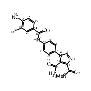 CNC(=O)c1ncn(-c2ccc(NC(=O)c3ccc(C#N)c(F)c3)cc2)c1C(N)=O